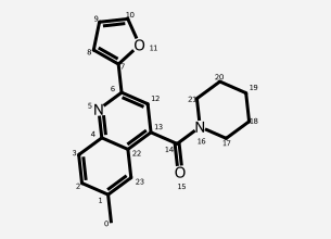 Cc1ccc2nc(-c3ccco3)cc(C(=O)N3CCCCC3)c2c1